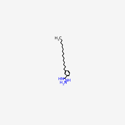 CCCCCCCCCCCCCCCc1cccc(C(=N)NN)c1